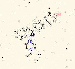 CCN1CCN(c2nc(-c3ccc([C@H]4CC[C@@H](O)CC4)cc3)cc3ccccc23)CC1